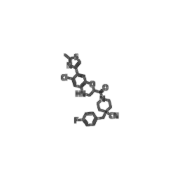 Cc1nc(-c2cc3c(cc2Cl)NCC(C(=O)N2CCC(C#N)(Cc4ccc(F)cc4)CC2)O3)cs1